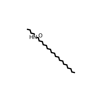 CCCCCCCCCCCCCCCCCCC(=O)NCCCC